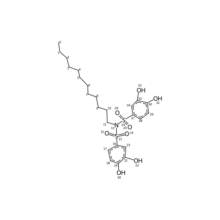 CCCCCCCCCCCCN(S(=O)(=O)c1ccc(O)c(O)c1)S(=O)(=O)c1ccc(O)c(O)c1